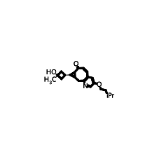 CC(C)CCOc1cnc2c(c1)/C=C\C(=O)C1C(C2)C1[C@H]1C[C@](C)(O)C1